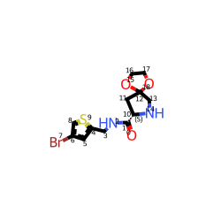 O=C(NCc1cc(Br)cs1)[C@@H]1CC2(CN1)OCCO2